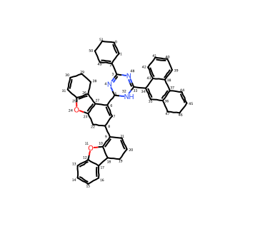 C1=CC(C2=NC(C3=CC(C4=C5Oc6ccccc6C5CC=C4)Cc4oc5c(c43)CCC=C5)NC(c3cc4c(c5ccccc35)C=CCC4)=N2)=CCC1